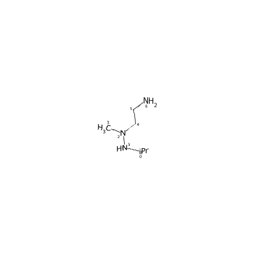 CC(C)NN(C)CCN